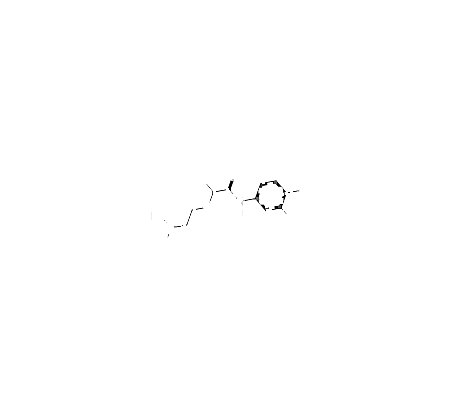 CCN(CC)CCSC(C)C(=O)Nc1ccc(Cl)c(Cl)c1